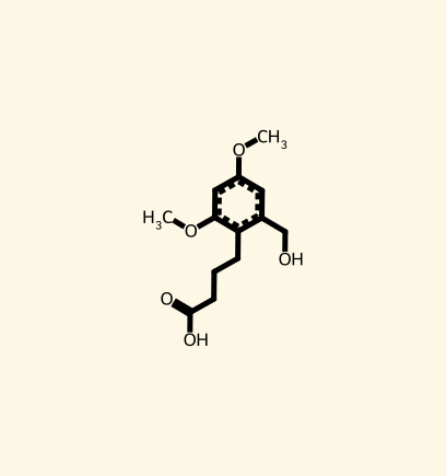 COc1cc(CO)c(CCCC(=O)O)c(OC)c1